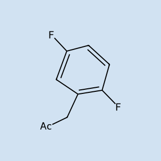 CC(=O)Cc1cc(F)ccc1F